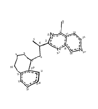 Cc1nc(C(C)CC2CCCc3ccccc32)nc2cnccc12